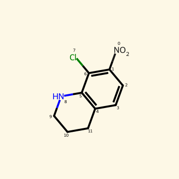 O=[N+]([O-])c1ccc2c(c1Cl)NCCC2